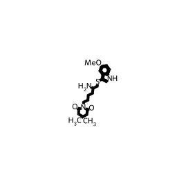 COc1ccc2[nH]cc(SCC(N)CCCCN3C(=O)CC(C)(C)CC3=O)c2c1